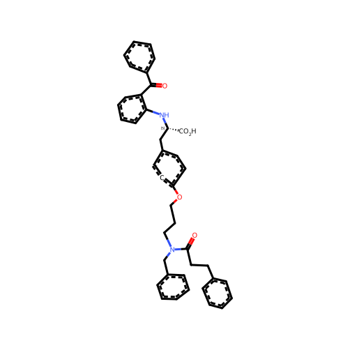 O=C(c1ccccc1)c1ccccc1N[C@@H](Cc1ccc(OCCCN(Cc2ccccc2)C(=O)CCc2ccccc2)cc1)C(=O)O